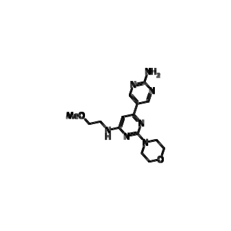 COCCNc1cc(-c2cnc(N)nc2)nc(N2CCOCC2)n1